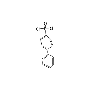 O=P(Cl)(Cl)c1ccc(-c2ccccc2)cc1